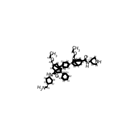 CCOC[C@]12CC3CC(C(=O)NC4CCNCC4)(C1)C[C@@](c1ccc(C45CC6(C(=O)N[C@H]7CC[C@H](CN)CC7)C[C@](COCC)(C4)C[C@@](c4ccccc4)(C6)C5)cc1)(C3)C2